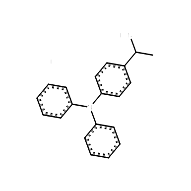 CC(N)c1ccc(N(c2ccccc2)c2ccccc2)cc1.I